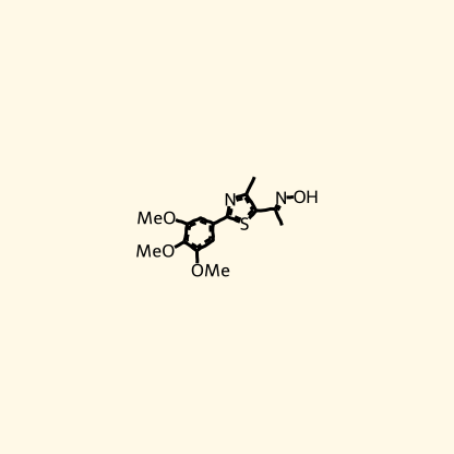 COc1cc(-c2nc(C)c(C(C)=NO)s2)cc(OC)c1OC